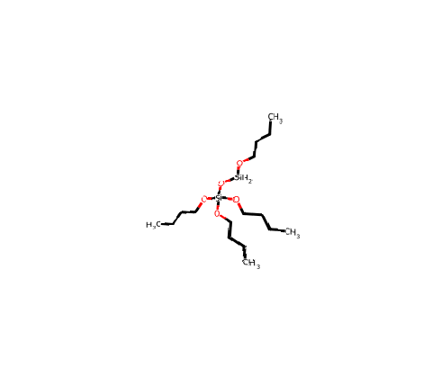 CCCCO[SiH2]O[Si](OCCCC)(OCCCC)OCCCC